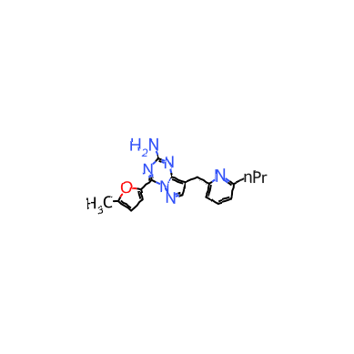 CCCc1cccc(Cc2cnn3c(-c4ccc(C)o4)nc(N)nc23)n1